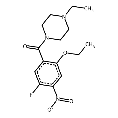 CCOc1cc([N+](=O)[O-])c(F)cc1C(=O)N1CCN(CC)CC1